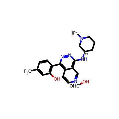 CC(C)N1CCC[C@@H](Nc2nnc(-c3ccc(C(F)(F)F)cc3O)c3ccncc23)C1.O=CO